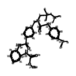 CN(C)CC(C)(C)CN(Cc1ccc(C(=O)Nc2ccccc2NC(=O)OC(C)(C)C)cc1)C(=O)Nc1ccc(N(C)C)cc1